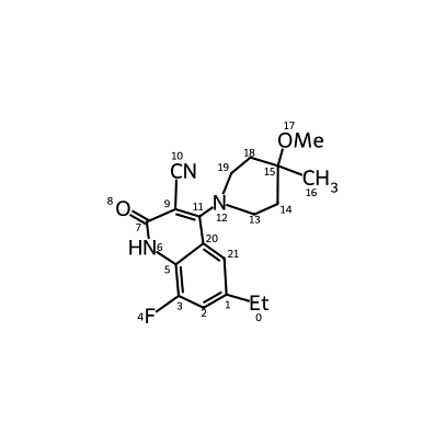 CCc1cc(F)c2[nH]c(=O)c(C#N)c(N3CCC(C)(OC)CC3)c2c1